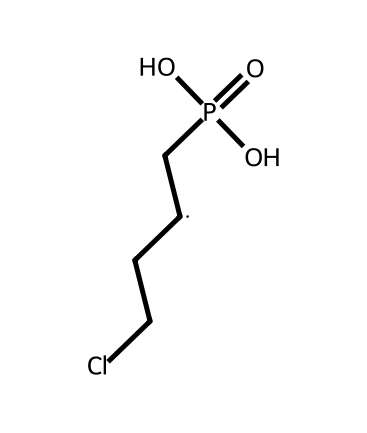 O=P(O)(O)C[CH]CCCl